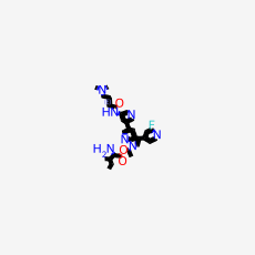 CCC(C)C(N)C(=O)OC(C)n1cc(-c2ccnc(F)c2)c2cc(-c3cncc(NC(=O)/C=C/CN(C)C)c3)cnc21